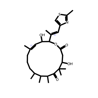 C/C1=C/C(O)C(/C(C)=C/c2csc(C)n2)OC(=O)CC(O)C(C)(C)C(=O)C(C)C(C)C(C)CCC1